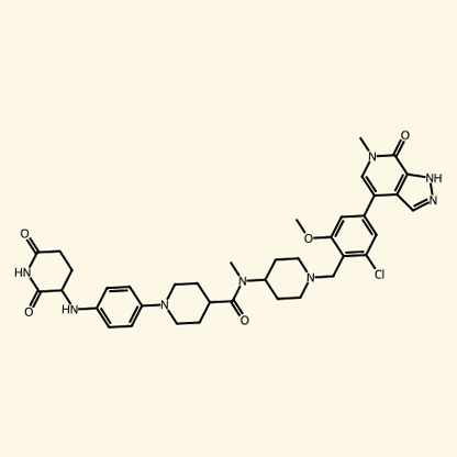 COc1cc(-c2cn(C)c(=O)c3[nH]ncc23)cc(Cl)c1CN1CCC(N(C)C(=O)C2CCN(c3ccc(NC4CCC(=O)NC4=O)cc3)CC2)CC1